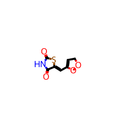 O=C1NC(=O)C(=CC2=CCOO2)S1